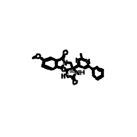 COc1ccc2c(c1)C(=O)N(C[C@@]1(c3cc(-c4ccccc4)nc(C)n3)NC(=O)NC1=O)C2